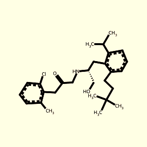 Cc1cccc(Cl)c1CC(=O)CN[C@@H](CO)Cc1c(CCC(C)(C)C)cccc1C(C)C